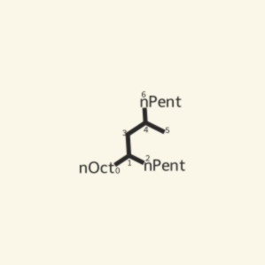 CCCCCCCCC(CCCCC)CC(C)CCCCC